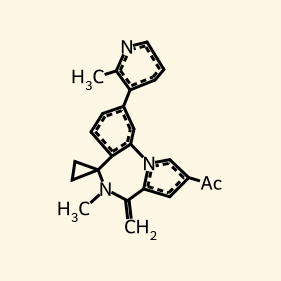 C=C1c2cc(C(C)=O)cn2-c2cc(-c3cccnc3C)ccc2C2(CC2)N1C